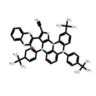 C#Cc1oc2c(c1C1=C(C)Sc3ccccc3O1)N(C1=CCC(C(C)(C)C)C=C1)c1cccc3c1B2c1cc(C(C)(C)C)ccc1N3c1ccc(C(C)(C)C)cc1